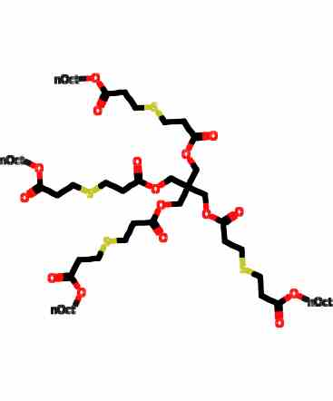 CCCCCCCCOC(=O)CCSCCC(=O)OCC(COC(=O)CCSCCC(=O)OCCCCCCCC)(COC(=O)CCSCCC(=O)OCCCCCCCC)COC(=O)CCSCCC(=O)OCCCCCCCC